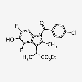 CCOC(=O)[C@H](C)c1c(C)n(C(=O)c2ccc(Cl)cc2)c2cc(F)c(O)c(F)c12